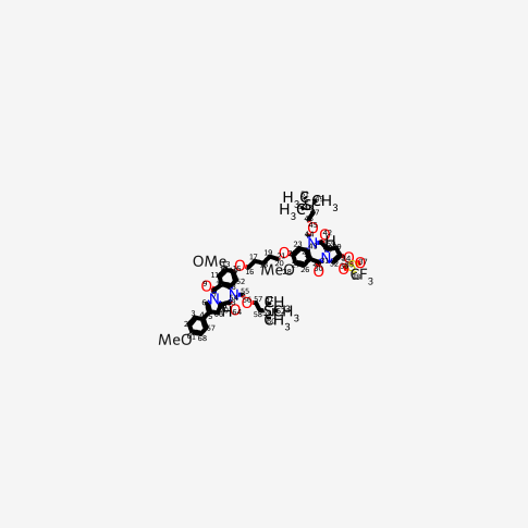 COc1ccc(C2=CN3C(=O)c4cc(OC)c(OCCCCCOc5cc6c(cc5OC)C(=O)N5C=C(OS(=O)(=O)C(F)(F)F)C[C@H]5C(=O)N6COCC[Si](C)(C)C)cc4N(COCC[Si](C)(C)C)C(=O)[C@@H]3C2)cc1